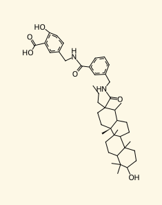 CCCC1(C(=O)NCc2cccc(C(=O)NCc3ccc(O)c(C(=O)O)c3)c2)CC[C@]2(C)C(CCC3C4(C)CCC(O)C(C)(C)C4CCC32C)C1C